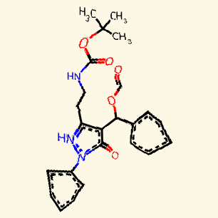 CC(C)(C)OC(=O)NCCc1[nH]n(-c2ccccc2)c(=O)c1C(OC=O)c1ccccc1